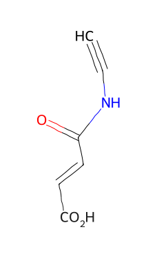 C#CNC(=O)C=CC(=O)O